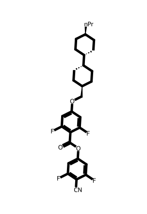 CCC[C@H]1CC[C@H]([C@H]2CC[C@H](COc3cc(F)c(C(=O)Oc4cc(F)c(C#N)c(F)c4)c(F)c3)CC2)CC1